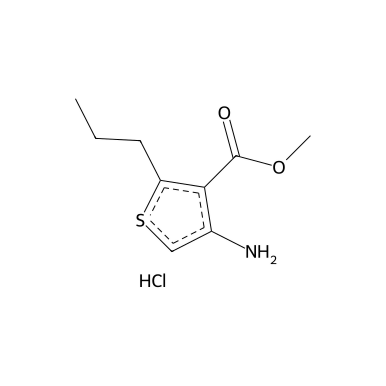 CCCc1scc(N)c1C(=O)OC.Cl